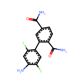 NC(=O)c1ccc(C(N)=O)c(-c2cc(F)c(N)cc2F)c1